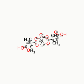 CC(C)(CC(=O)O)C1OCC2(CO1)COC(C(C)(C)CC(=O)O)OC2=O